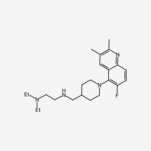 CCN(CC)CCNCC1CCN(c2c(F)ccc3nc(C)c(C)cc23)CC1